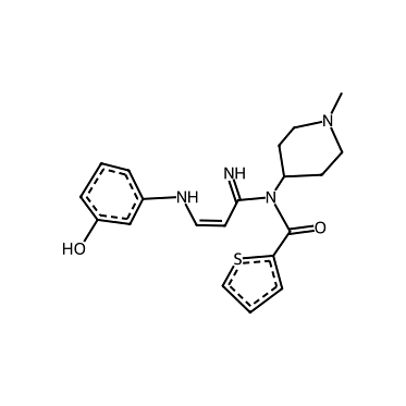 CN1CCC(N(C(=N)/C=C\Nc2cccc(O)c2)C(=O)c2cccs2)CC1